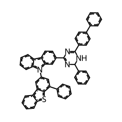 c1ccc(-c2ccc(C3=NC(c4ccc5c6ccccc6n(-c6cc(-c7ccccc7)c7sc8ccccc8c7c6)c5c4)=NC(c4ccccc4)N3)cc2)cc1